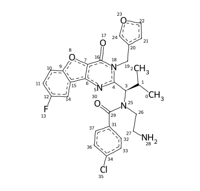 CC(C)[C@H](c1nc2c(oc3ccc(F)cc32)c(=O)n1Cc1ccoc1)N(CCN)C(=O)c1ccc(Cl)cc1